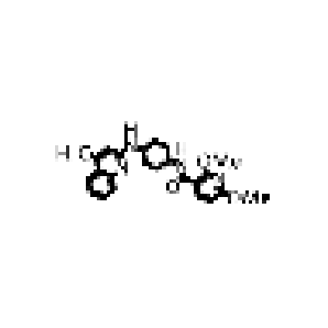 COc1ccc(C(=O)NC2CCC(Nc3cc(C)c4ccccc4n3)CC2)c(OC)n1